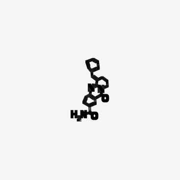 NC(=O)c1ccc2nc3n(c(=O)c2c1)CCCC3=Cc1ccccc1